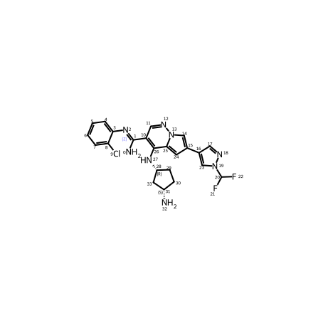 N/C(=N\c1ccccc1Cl)c1cnn2cc(-c3cnn(C(F)F)c3)cc2c1N[C@@H]1CC[C@H](N)C1